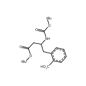 CC(C)(C)OC(=O)CC(Cc1ccccc1C(=O)O)NC(=O)OC(C)(C)C